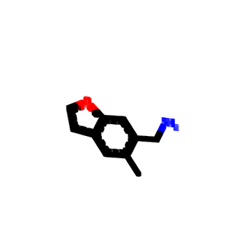 Cc1cc2ccoc2cc1CN